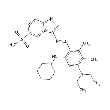 CCN(CC)c1nc(NC2CCCCC2)c(N=Nc2snc3ccc(S(C)(=O)=O)cc23)c(C)c1C